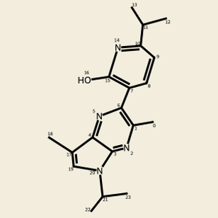 Cc1nc2c(nc1-c1ccc(C(C)C)nc1O)c(C)cn2C(C)C